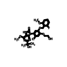 COc1cccc(F)c1COc1cc(-n2c(=O)[nH]c3c(OC)nc(C(C)(C)O)nc32)c(Cl)cc1OCCO